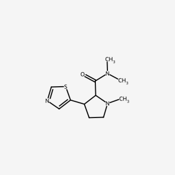 CN(C)C(=O)C1C(c2cncs2)CCN1C